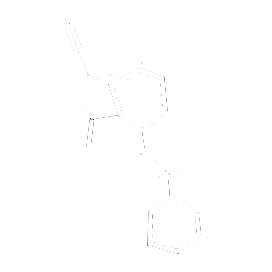 N#CC1OC(=O)c2c(CNc3ccccc3)cccc21